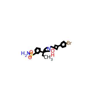 CCC1(c2cccc(CS(N)(=O)=O)c2)C2CN(CC3(O)CC(c4ccc(Br)cc4)C3)CC21